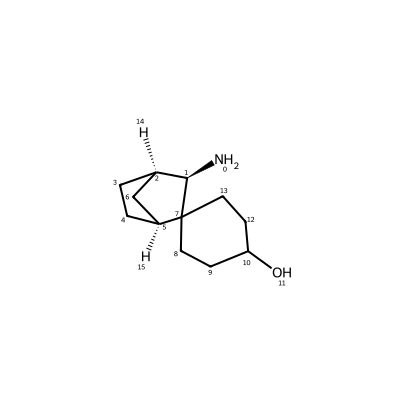 N[C@@H]1[C@@H]2CC[C@@H](C2)C12CCC(O)CC2